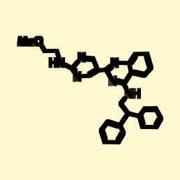 COCCNc1ncc(-c2nc(NCC(c3ccccc3)c3ccccc3)c3ccccc3n2)cn1